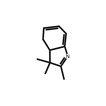 CC1=NC2=CC=CCC2C1(C)C